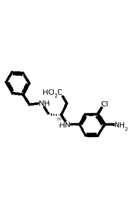 Nc1ccc(N[C@H](CNCc2ccccc2)CC(=O)O)cc1Cl